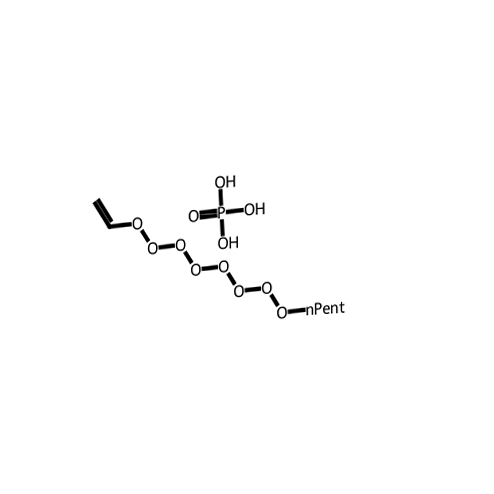 C=COOOOOOOOCCCCC.O=P(O)(O)O